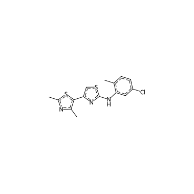 Cc1nc(C)c(-c2csc(Nc3cc(Cl)ccc3C)n2)s1